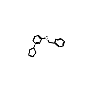 [c]1ccc(OCc2ccccc2)cc1C1CCCC1